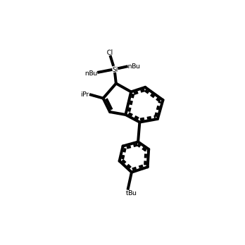 CCCC[Si](Cl)(CCCC)C1C(C(C)C)=Cc2c(-c3ccc(C(C)(C)C)cc3)cccc21